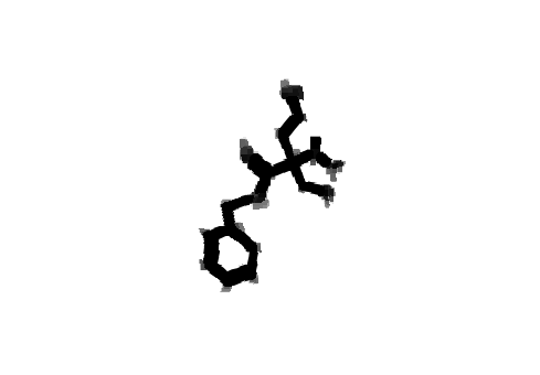 CCCN[C@](CCO)(CC(C)C)C(=O)OCc1ccccc1